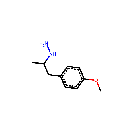 COc1ccc(CC(C)NN)cc1